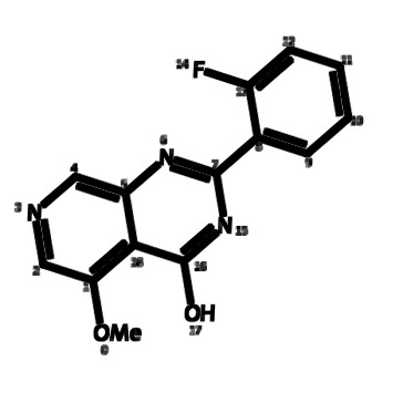 COc1cncc2nc(-c3ccccc3F)nc(O)c12